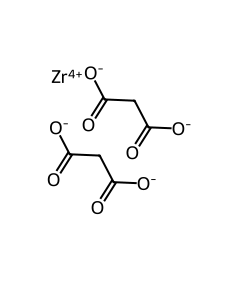 O=C([O-])CC(=O)[O-].O=C([O-])CC(=O)[O-].[Zr+4]